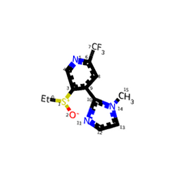 CC[S+]([O-])c1cnc(C(F)(F)F)cc1-c1nccn1C